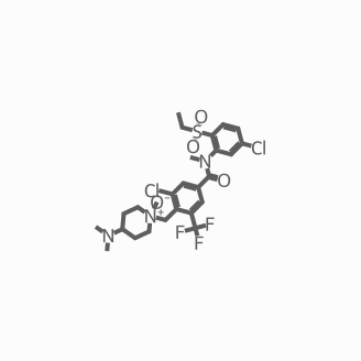 CCS(=O)(=O)c1ccc(Cl)cc1N(C)C(=O)c1cc(Cl)c(C[N+]2([O-])CCC(N(C)C)CC2)c(C(F)(F)F)c1